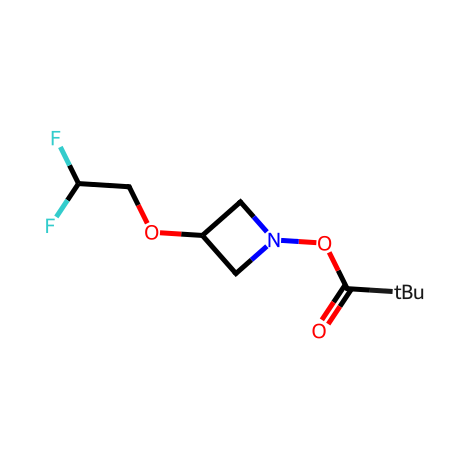 CC(C)(C)C(=O)ON1CC(OCC(F)F)C1